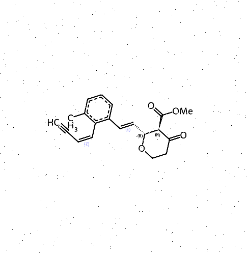 C#C/C=C\c1c(C)cccc1/C=C/[C@H]1OCCC(=O)[C@@H]1C(=O)OC